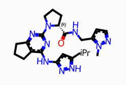 CC(C)c1cc(Nc2nc(N3CCC[C@@H]3C(=O)NCc3ccnn3C)nc3c2CCC3)n[nH]1